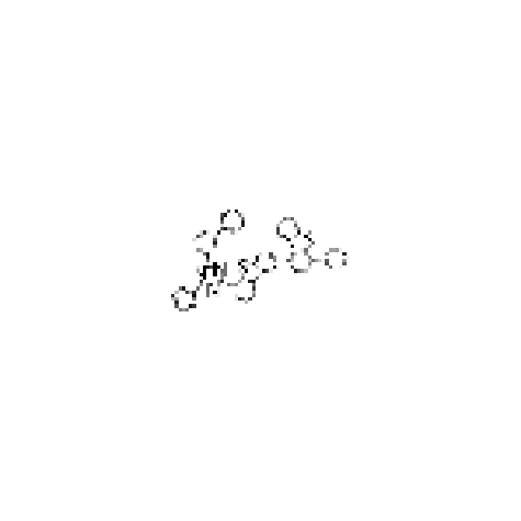 c1ccc(-c2cccc(-c3nc(-c4ccccc4)nc(-c4cccc5c4sc4ccc(-c6ccc(-c7ccccc7)c7sc8ccccc8c67)cc45)n3)c2)cc1